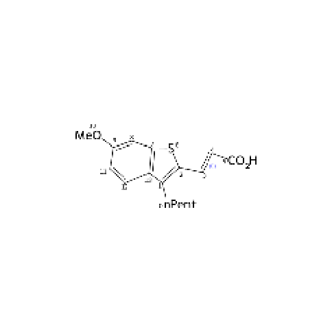 CCCCCc1c(/C=C/C(=O)O)sc2cc(OC)ccc12